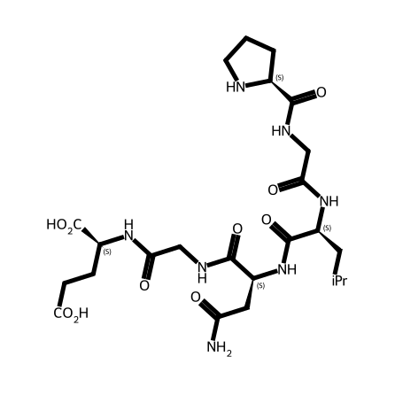 CC(C)C[C@H](NC(=O)CNC(=O)[C@@H]1CCCN1)C(=O)N[C@@H](CC(N)=O)C(=O)NCC(=O)N[C@@H](CCC(=O)O)C(=O)O